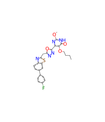 CCCCOc1c(-c2nnc(Cc3nc4ccc(-c5ccc(F)cc5)cc4s3)o2)nc(OC)[nH]c1=O